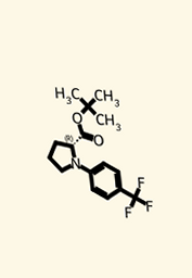 CC(C)(C)OC(=O)[C@H]1CCCN1c1ccc(C(F)(F)F)cc1